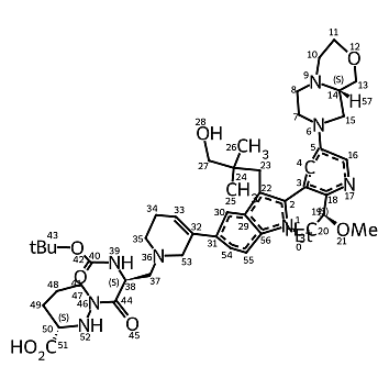 CCn1c(-c2cc(N3CCN4CCOC[C@@H]4C3)cnc2[C@H](C)OC)c(CC(C)(C)CO)c2cc(C3=CCCN(C[C@H](NC(=O)OC(C)(C)C)C(=O)N4CCC[C@@H](C(=O)O)N4)C3)ccc21